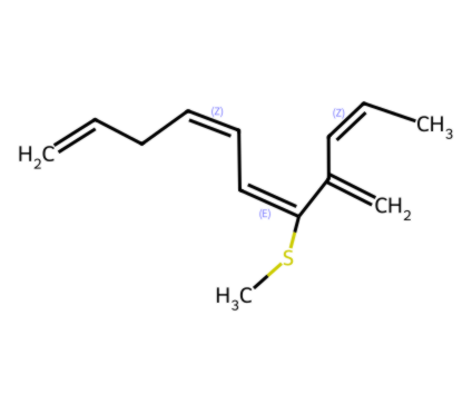 C=CC/C=C\C=C(\SC)C(=C)/C=C\C